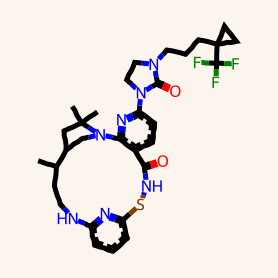 CC1CCNc2cccc(n2)SNC(=O)c2ccc(N3CCN(CCCC4(C(F)(F)F)CC4)C3=O)nc2N2CC1CC2(C)C